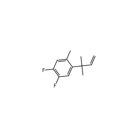 C=CC(C)(C)c1cc(F)c(F)cc1C